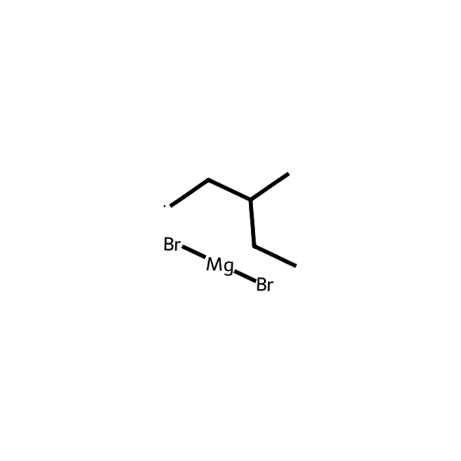 [Br][Mg][Br].[CH2]CC(C)CC